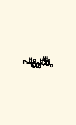 Cc1ccn(NCC(C)C)c(=O)c1CC(=O)NCc1cc(Cl)ccc1CN